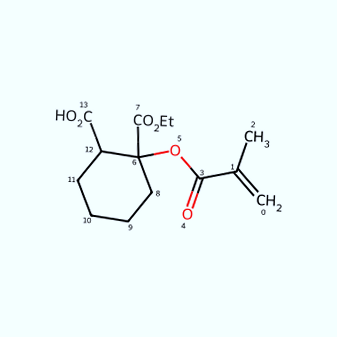 C=C(C)C(=O)OC1(C(=O)OCC)CCCCC1C(=O)O